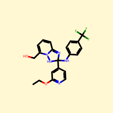 CCOc1cc(C2(Nc3ccc(C(F)(F)F)cc3)N=C3C=CC=C(CO)N3N2)ccn1